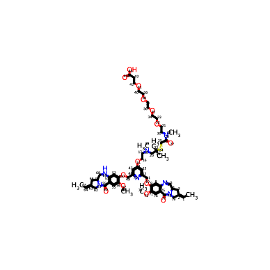 C/C=C1\CC2C=Nc3cc(OCc4cc(OCCN(C)CC(C)(C)SCC(=O)N(C)CCOCCOCCOCCOCCC(=O)O)cc(COc5cc6c(cc5OC)C(=O)N5C/C(=C/C)CC5CN6)n4)c(OC)cc3C(=O)N2C1